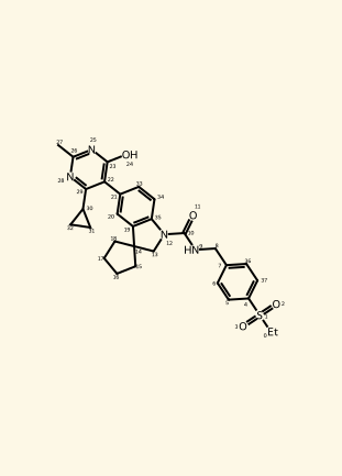 CCS(=O)(=O)c1ccc(CNC(=O)N2CC3(CCCC3)c3cc(-c4c(O)nc(C)nc4C4CC4)ccc32)cc1